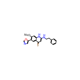 COc1cc2[nH]c(NCCc3ccccc3)cc(=S)c2cc1-c1cnco1